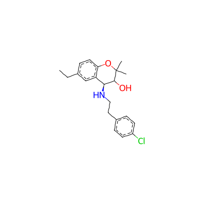 CCc1ccc2c(c1)[C@H](NCCc1ccc(Cl)cc1)C(O)C(C)(C)O2